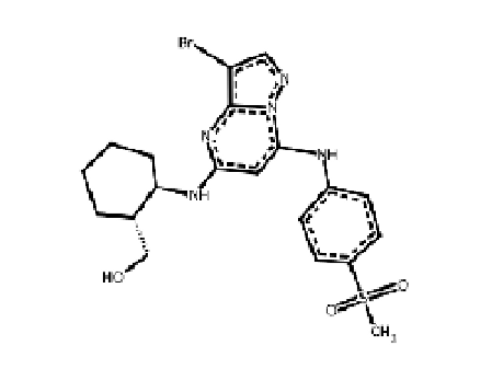 CS(=O)(=O)c1ccc(Nc2cc(N[C@@H]3CCCC[C@H]3CO)nc3c(Br)cnn23)cc1